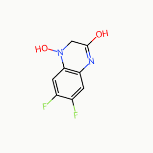 OC1=Nc2cc(F)c(F)cc2N(O)C1